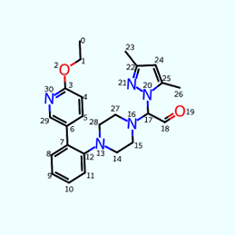 CCOc1ccc(-c2ccccc2N2CCN(C(C=O)n3nc(C)cc3C)CC2)cn1